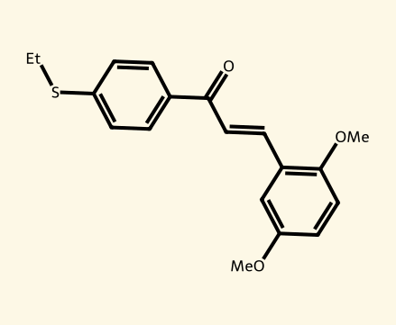 CCSc1ccc(C(=O)C=Cc2cc(OC)ccc2OC)cc1